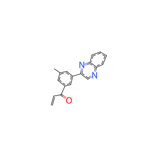 C=CC(=O)c1cc(C)cc(-c2cnc3ccccc3n2)c1